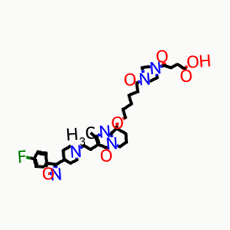 Cc1nc2n(c(=O)c1CCN1CCC(c3noc4cc(F)ccc34)CC1)CCCC2OCCCCCC(=O)N1CCN(C(=O)CCC(=O)O)CC1